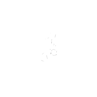 C=C/C(C(=O)O)=C(/CC)N(C)c1cccc(C2=C3CCCC3=CCC=C2)n1